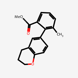 COC(=O)c1cccc(C)c1-c1ccc2c(c1)CCCO2